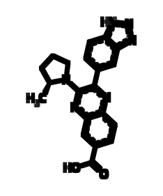 C[C@H]1CCCN1c1nc2cc(C(=O)O)ccc2nc1-c1ccc2[nH]nnc2c1